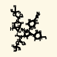 Cc1ccc(-c2cc(N(C[C@H]3[C@@H]4CN(C(=O)OC(C)(C)C)C[C@@H]43)C(=O)OC(C)(C)C)nn2-c2ccc(C#N)cc2)cc1